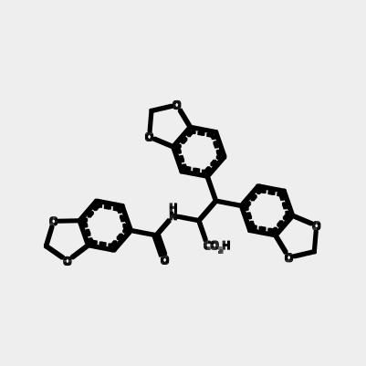 O=C(NC(C(=O)O)C(c1ccc2c(c1)OCO2)c1ccc2c(c1)OCO2)c1ccc2c(c1)OCO2